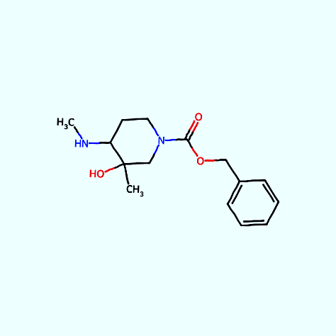 CNC1CCN(C(=O)OCc2ccccc2)CC1(C)O